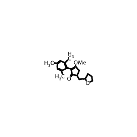 COC1=C(c2c(C)cc(C)cc2C)C(=O)C(CC2CCCO2)C1